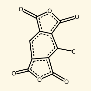 O=c1oc(=O)c2c(Cl)c3c(=O)oc(=O)c3cc12